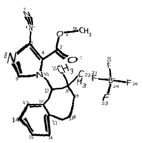 COC(=O)c1c([N+]#N)ncn1C1c2ccccc2CCC1(C)C.F[B-](F)(F)F